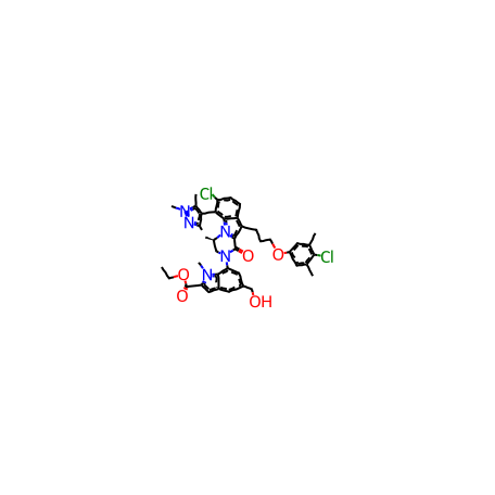 CCOC(=O)c1cc2cc(CO)cc(N3C[C@@H](C)n4c(c(CCCOc5cc(C)c(Cl)c(C)c5)c5ccc(Cl)c(-c6c(C)nn(C)c6C)c54)C3=O)c2n1C